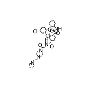 O=C(NCC(=O)N1CCN(CCN2CCCC2)CC1)c1ccc(S(=O)(=O)Nc2ccccc2Oc2ccc(Cl)cc2Cl)cc1